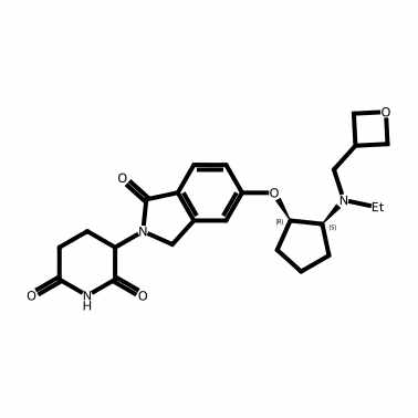 CCN(CC1COC1)[C@H]1CCC[C@H]1Oc1ccc2c(c1)CN(C1CCC(=O)NC1=O)C2=O